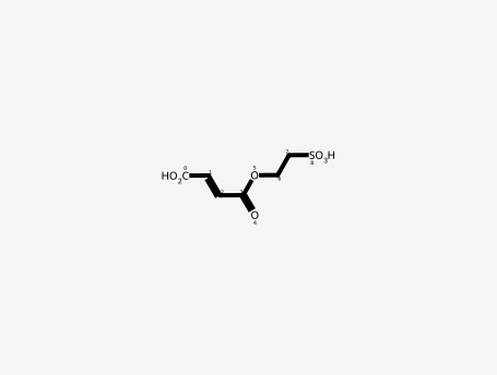 O=C(O)C=CC(=O)OCCS(=O)(=O)O